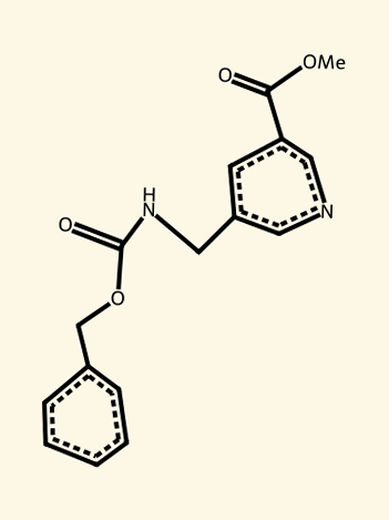 COC(=O)c1cncc(CNC(=O)OCc2ccccc2)c1